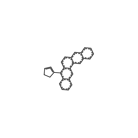 C1=CCCC=1c1c2ccccc2cc2c1ccc1cc3ccccc3cc12